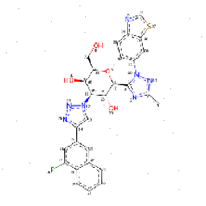 Cc1nc([C@@H]2O[C@H](CO)[C@H](O)[C@H](n3cc(-c4cc(F)c5ccccc5c4)nn3)[C@H]2O)n(-c2ccc3ncsc3c2)n1